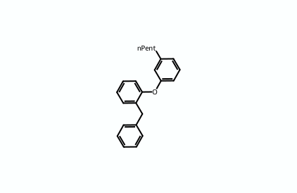 CCCCCc1cccc(Oc2ccccc2Cc2ccccc2)c1